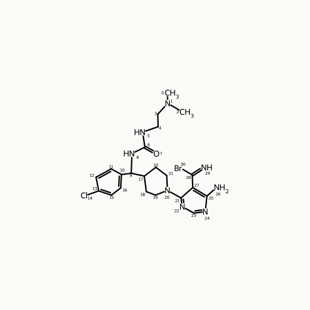 CN(C)CCNC(=O)NC(c1ccc(Cl)cc1)C1CCN(c2ncnc(N)c2C(=N)Br)CC1